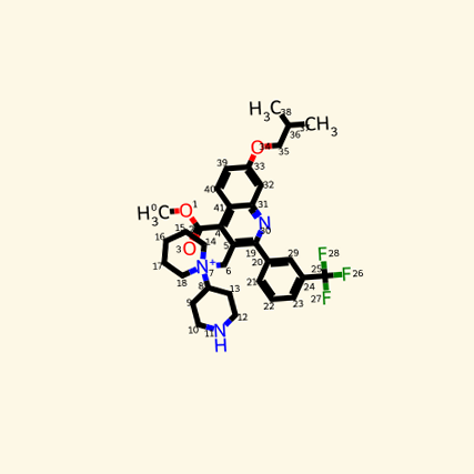 COC(=O)c1c(C[N+]2(C3CCNCC3)CCCCC2)c(-c2cccc(C(F)(F)F)c2)nc2cc(OCC(C)C)ccc12